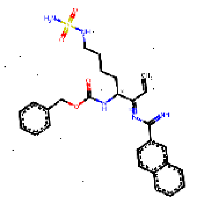 C=C/C(=N\C(=N)c1ccc2ccccc2c1)[C@H](CCCCNS(N)(=O)=O)NC(=O)OCc1ccccc1